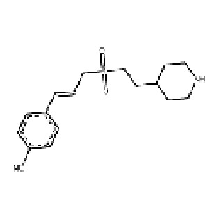 N#Cc1ccc(C=CCS(=O)(=O)CCC2CCNCC2)cc1